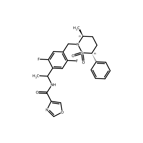 CC(NC(=O)c1cocn1)c1cc(F)c(CN2[C@@H](C)CC[C@H](c3ccccc3)S2(=O)=O)cc1F